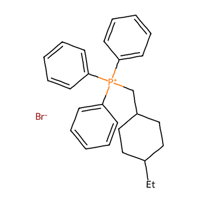 CCC1CCC(C[P+](c2ccccc2)(c2ccccc2)c2ccccc2)CC1.[Br-]